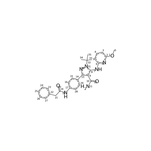 COc1cccc(Nc2c(C(N)=O)c(-c3ccc(NC(=O)Cc4ccccc4)cc3)nn2C(C)(C)C)n1